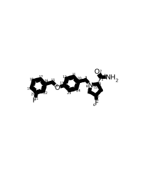 NC(=O)[C@@H]1CC(F)CN1Cc1ccc(OCc2cccc(F)c2)cc1